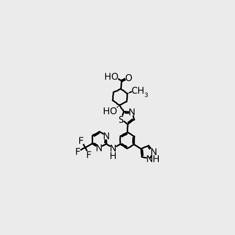 C[C@H]1C[C@@](O)(c2ncc(-c3cc(Nc4nccc(C(F)(F)F)n4)cc(-c4cn[nH]c4)c3)s2)CCC1C(=O)O